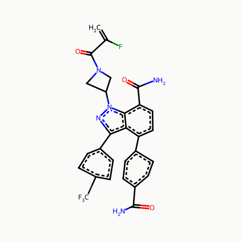 C=C(F)C(=O)N1CC(n2nc(-c3ccc(C(F)(F)F)cc3)c3c(-c4ccc(C(N)=O)cc4)ccc(C(N)=O)c32)C1